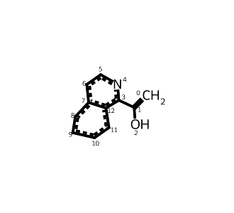 C=C(O)c1nccc2ccccc12